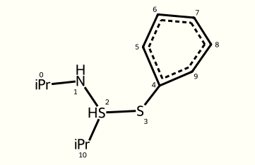 CC(C)N[SH](Sc1ccccc1)C(C)C